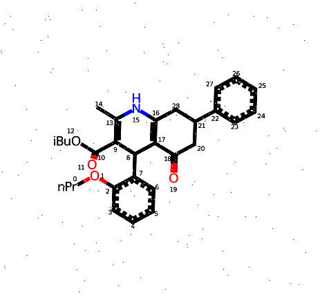 CCCOc1ccccc1C1C(C(=O)OCC(C)C)=C(C)NC2=C1C(=O)CC(c1ccccc1)C2